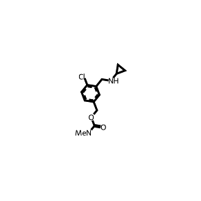 CNC(=O)OCc1ccc(Cl)c(CNC2CC2)c1